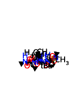 C[C@H](C1(NC(=O)N[C@H](C(=O)N2C[C@H]3[C@@H]([C@H]2C(=O)N[C@@H](CC2CC2)C(=O)C(=O)NC2CC2)C3(C)C)C(C)(C)C)CCCCC1)S(=O)(=O)N(C)C1CC1